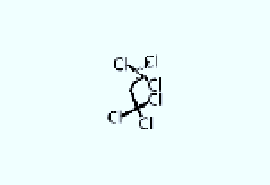 ClC(Cl)(Cl)CS(Cl)(Cl)Cl